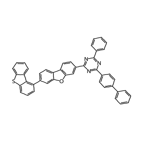 c1ccc(-c2ccc(-c3nc(-c4ccccc4)nc(-c4ccc5c(c4)oc4cc(-c6cccc7sc8ccccc8c67)ccc45)n3)cc2)cc1